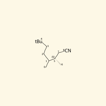 CC(CCC(C)(C)C)[C@@H](C)CC#N